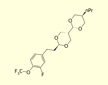 CCC[C@H]1CO[C@H]([C@H]2CO[C@H](CCc3ccc(OC(F)(F)F)c(F)c3)OC2)OC1